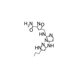 CCCc1cc(Nc2ccnc(NCc3cc(C(N)=O)no3)n2)n[nH]1